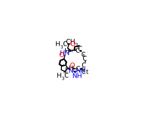 CC[C@]12CCCCc3ccc4c(c3)[C@H](CC(C)(C)O4)NC(=O)c3ccc4c(c3)[C@@H]([C@H](C)C4)N(C(=N)N1)C(=O)C2